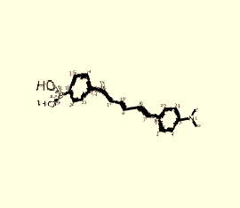 CN(C)c1ccc(/C=C/C=C/C=C/c2ccc(B(O)O)cc2)cc1